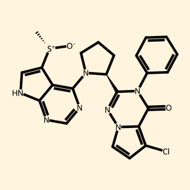 C[S@+]([O-])c1c[nH]c2ncnc(N3CCC[C@H]3c3nn4ccc(Cl)c4c(=O)n3-c3ccccc3)c12